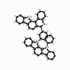 c1ccc(-n2c3ccccc3c3ccc4c5ccccc5n(-c5cccc(-c6nc7ccccc7c7c6ccc6c8ccccc8sc67)c5)c4c32)cc1